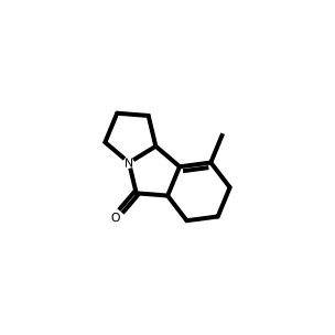 CC1=C2C(CCC1)C(=O)N1CCCC21